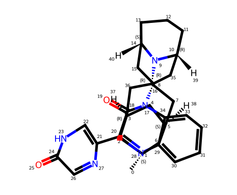 C[C@@H]1C[C@@H]2C[C@H](C1)C[C@@H](N1[C@@H]3CCC[C@H]1C[C@@H](n1c(=O)c(-c4c[nH]c(=O)cn4)nc4ccccc41)C3)C2